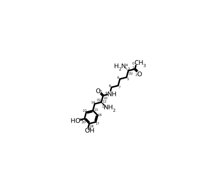 CC(=O)[C@@H](N)CCCCNC(=O)[C@@H](N)Cc1ccc(O)c(O)c1